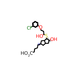 O=C(O)CCC/C=C1\CC2C[C@@H](O)[C@@H](SC(O)CCOc3cccc(Cl)c3)C2C1